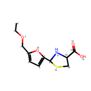 CCOCc1ccc(C2NC(C(=O)O)CS2)o1